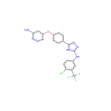 Nc1cc(Oc2ccc(-c3nnc(Nc4ccc(Cl)c(C(F)(F)F)c4)[nH]3)cc2)ncn1